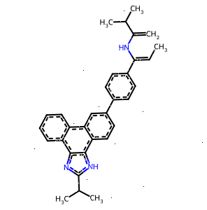 C=C(N/C(=C\C)c1ccc(-c2ccc3c(c2)c2ccccc2c2nc(C(C)C)[nH]c32)cc1)C(C)C